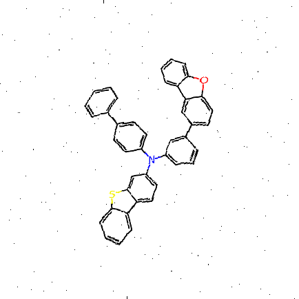 c1ccc(-c2ccc(N(c3cccc(-c4ccc5oc6ccccc6c5c4)c3)c3ccc4c(c3)sc3ccccc34)cc2)cc1